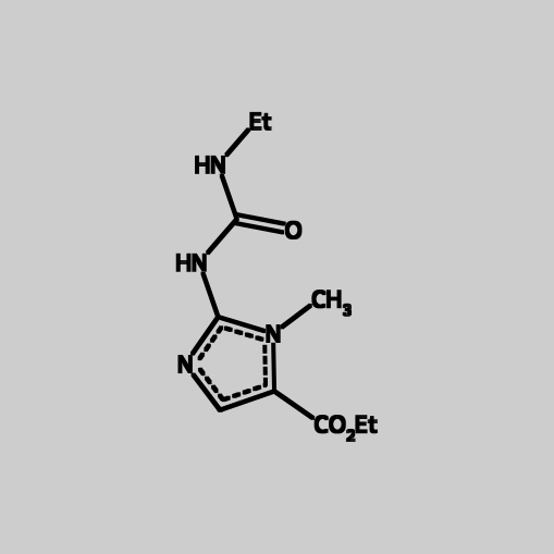 CCNC(=O)Nc1ncc(C(=O)OCC)n1C